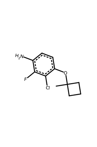 CC1(Oc2ccc(N)c(F)c2Cl)CCC1